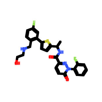 CC(NC(=O)c1ccc(=O)n(-c2ccccc2F)n1)c1ccc(-c2cc(F)ccc2CNCCO)s1